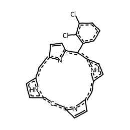 Clc1cccc(-c2c3nc(cc4ccc(cc5nc(cc6ccc2[nH]6)C=C5)[nH]4)C=C3)c1Cl